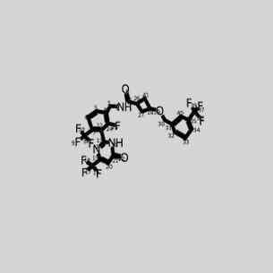 O=C(NCc1ccc(C(F)(F)F)c(-c2nc(C(F)(F)F)cc(=O)[nH]2)c1F)C1CC(OCc2cccc(C(F)(F)F)c2)C1